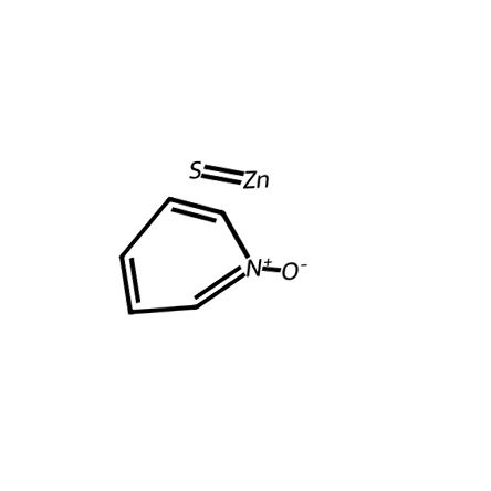 [O-][n+]1ccccc1.[S]=[Zn]